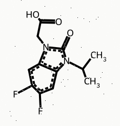 CC(C)n1c(=O)n(CC(=O)O)c2cc(F)c(F)cc21